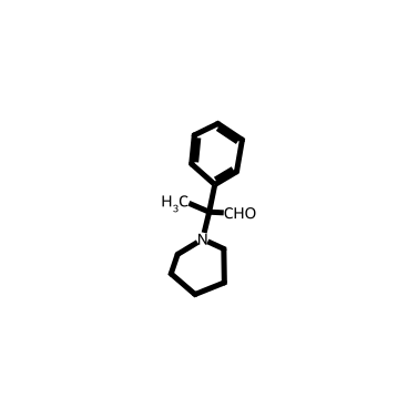 CC(C=O)(c1ccccc1)N1CCCCC1